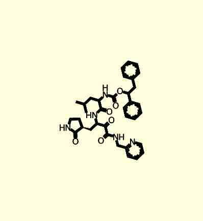 CC(C)CC(NC(=O)OC(Cc1ccccc1)c1ccccc1)C(=O)NC(C[C@@H]1CCNC1=O)C(=O)C(=O)NCc1ccccn1